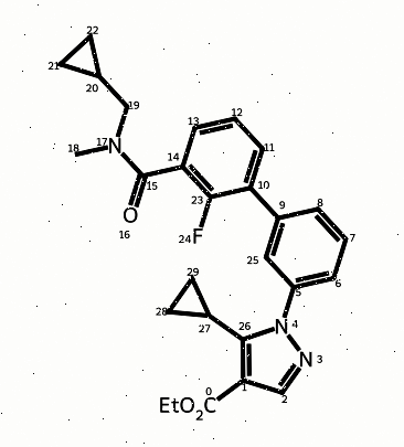 CCOC(=O)c1cnn(-c2cccc(-c3cccc(C(=O)N(C)CC4CC4)c3F)c2)c1C1CC1